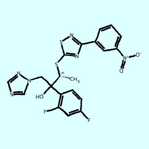 C[C@@H](Sc1nc(-c2cccc([N+](=O)[O-])c2)ns1)C(O)(Cn1cncn1)c1ccc(F)cc1F